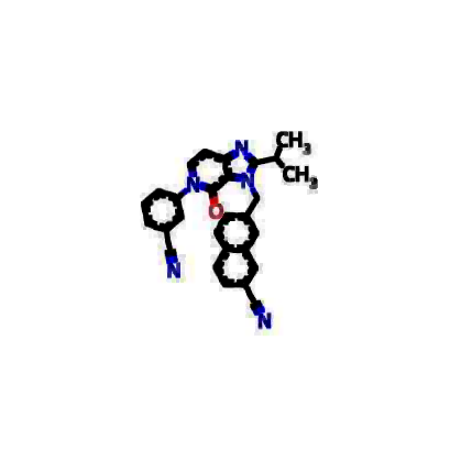 CC(C)c1nc2ccn(-c3cccc(C#N)c3)c(=O)c2n1Cc1ccc2ccc(C#N)cc2c1